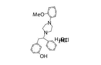 COc1ccccc1N1CCN(C(Cc2cccc(O)c2)c2ccccc2)CC1.Cl.Cl.O